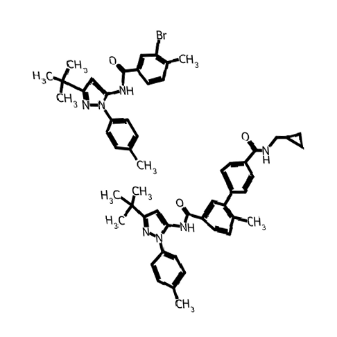 Cc1ccc(-n2nc(C(C)(C)C)cc2NC(=O)c2ccc(C)c(-c3ccc(C(=O)NCC4CC4)cc3)c2)cc1.Cc1ccc(-n2nc(C(C)(C)C)cc2NC(=O)c2ccc(C)c(Br)c2)cc1